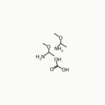 COC(C)N.COC(C)N.O=C(O)O